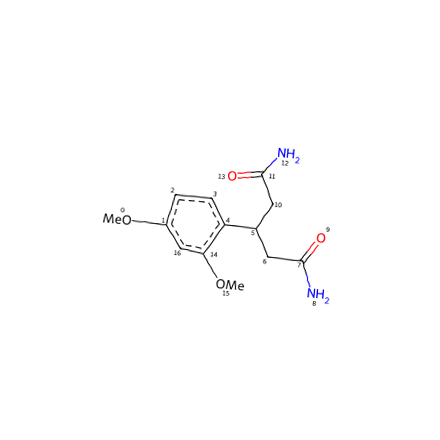 COc1ccc(C(CC(N)=O)CC(N)=O)c(OC)c1